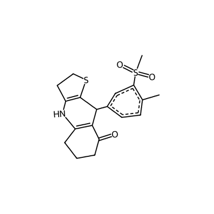 Cc1ccc(C2C3=C(CCS3)NC3=C2C(=O)CCC3)cc1S(C)(=O)=O